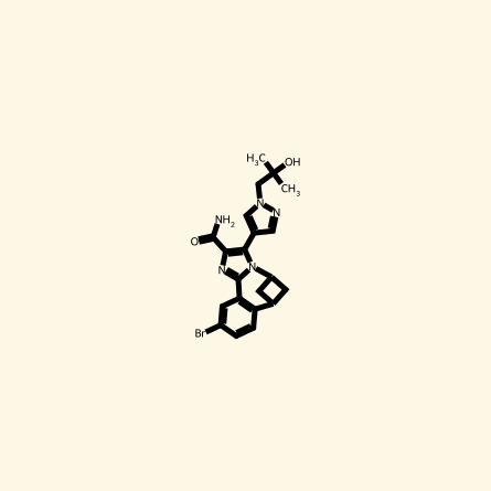 CC(C)(O)Cn1cc(-c2c(C(N)=O)nc3n2C2CC(C2)c2ccc(Br)cc2-3)cn1